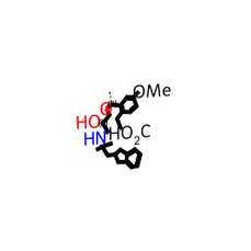 COc1ccc(CCC(=O)O)c([C@@H](C)OC[C@H](O)CNC(C)(C)CC2Cc3ccccc3C2)c1